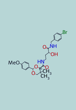 COc1ccc(C2OCC(C)(C)[C@H](C(=O)NCCC(O)C(=O)NCc3ccc(Br)cc3)O2)cc1